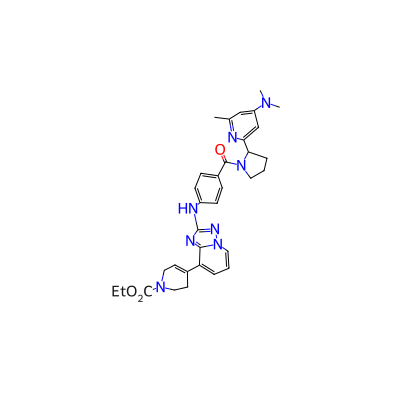 CCOC(=O)N1CC=C(c2cccn3nc(Nc4ccc(C(=O)N5CCCC5c5cc(N(C)C)cc(C)n5)cc4)nc23)CC1